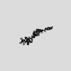 CCCCCCCCCCCCCCCC(NC(=O)OCCCN1C(=O)N(CC[N+](C)(C)C)C(=O)C1Cl)C(C)OC